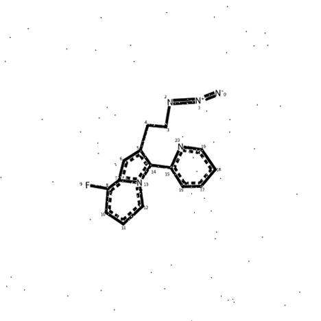 [N-]=[N+]=NCCc1cc2c(F)cccn2c1-c1ccccn1